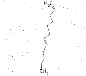 C=CCCCCC=CCCCC